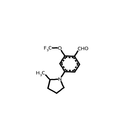 CC1CCCN1c1ccc(C=O)c(OC(F)(F)F)c1